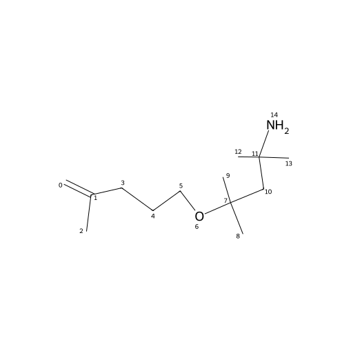 C=C(C)CCCOC(C)(C)CC(C)(C)N